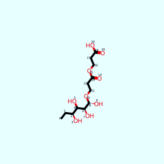 CC[C@H](O)C(O)[C@H](O)[C@@H](O)OCCC(=O)OCCC(=O)O